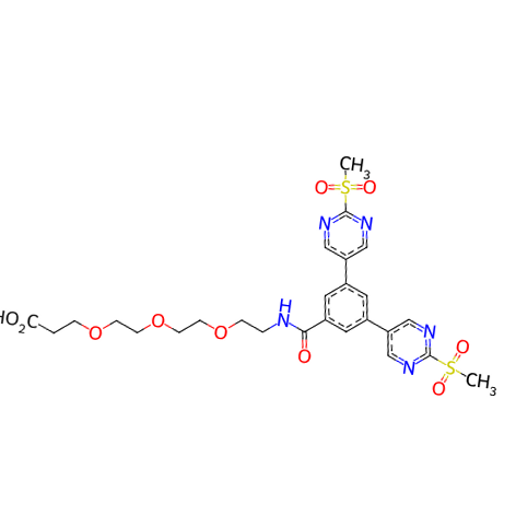 CS(=O)(=O)c1ncc(-c2cc(C(=O)NCCOCCOCCOCCC(=O)O)cc(-c3cnc(S(C)(=O)=O)nc3)c2)cn1